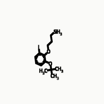 CC(C)(C)Oc1cccc(I)c1OCCC[SiH3]